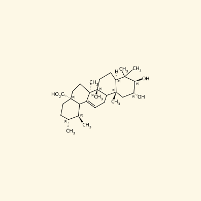 C[C@@H]1CC[C@@]2(C(=O)O)CC[C@]3(C)C(=CCC4[C@@]5(C)C[C@@H](O)[C@H](O)C(C)(C)[C@@H]5CC[C@]43C)C2[C@H]1C